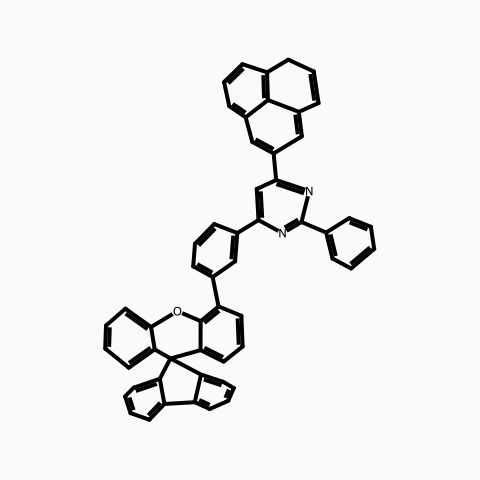 C1=Cc2cc(-c3cc(-c4cccc(-c5cccc6c5Oc5ccccc5C65c6ccccc6-c6ccccc65)c4)nc(-c4ccccc4)n3)cc3cccc(c23)C1